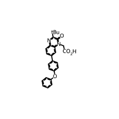 CC(C)(C)c1nc2ccc(-c3ccc(Oc4ccccc4)cc3)cc2n(CC(=O)O)c1=O